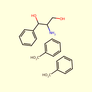 NC(CO)C(O)c1ccccc1.O=C(O)c1ccccc1.O=C(O)c1ccccc1